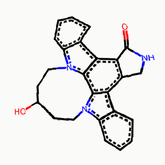 O=C1NCc2c1c1c3ccccc3n3c1c1c2c2ccccc2n1CCC(O)CC3